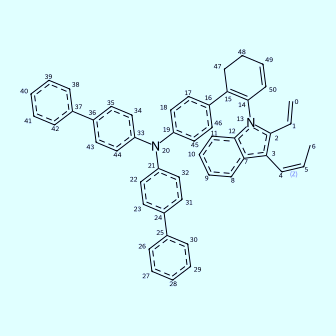 C=Cc1c(/C=C\C)c2ccccc2n1C1=C(c2ccc(N(c3ccc(-c4ccccc4)cc3)c3ccc(-c4ccccc4)cc3)cc2)CCC=C1